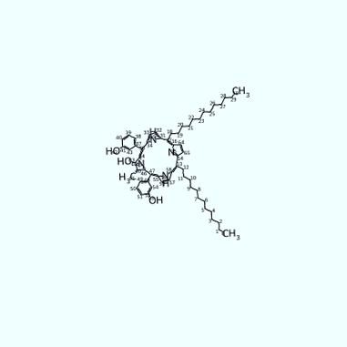 CCCCCCCCCCCCCc1c2nc(c(CCCCCCCCCCCCC)c3ccc([nH]3)c(-c3cccc(O)c3)c3nc(c(-c4cccc(O)c4)c4ccc1[nH]4)C(C)C3O)C=C2